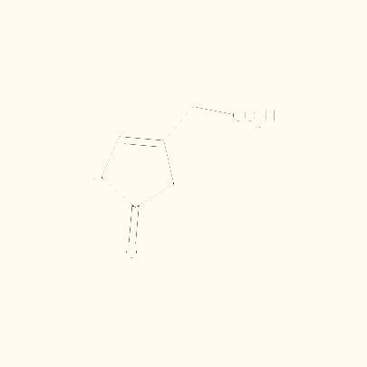 O=C(O)CC1=CCC(=O)C1